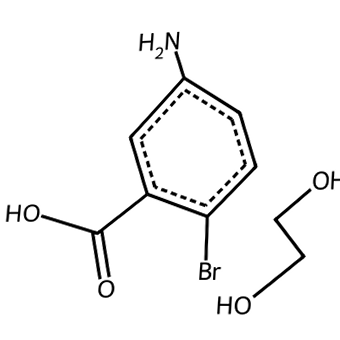 Nc1ccc(Br)c(C(=O)O)c1.OCCO